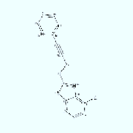 Clc1cccc2sc(CCC#Cc3ccccn3)nc12